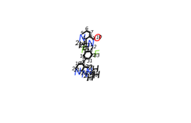 [2H]C1([2H])c2ncccc2C(=O)N1Cc1c(F)cc(-c2ccnc3nn(C([2H])([2H])[2H])cc23)cc1F